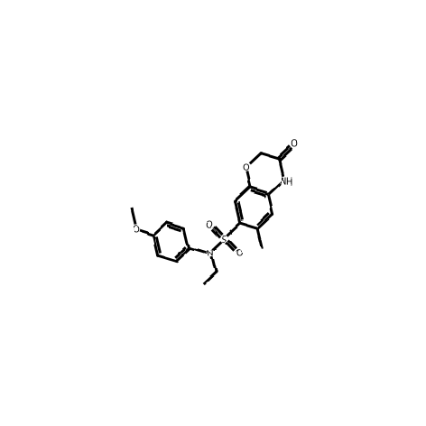 CCN(c1ccc(OC)cc1)S(=O)(=O)c1cc2c(cc1C)NC(=O)CO2